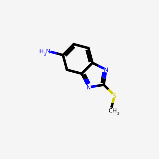 CSC1=NC2=CC=C(N)CC2=N1